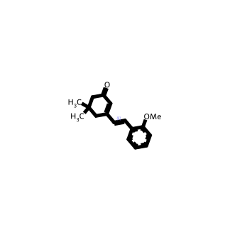 COc1ccccc1/C=C/C1=CC(=O)CC(C)(C)C1